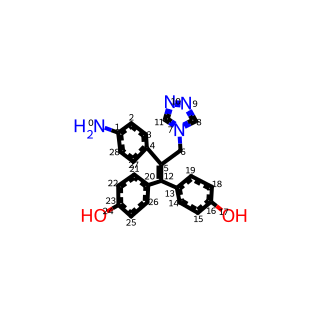 Nc1ccc(C(Cn2cnnc2)=C(c2ccc(O)cc2)c2ccc(O)cc2)cc1